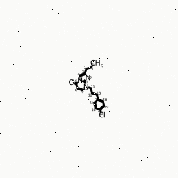 CCCc1cn2c(=O)ccn(CCCc3ccc(Cl)cc3)c2n1